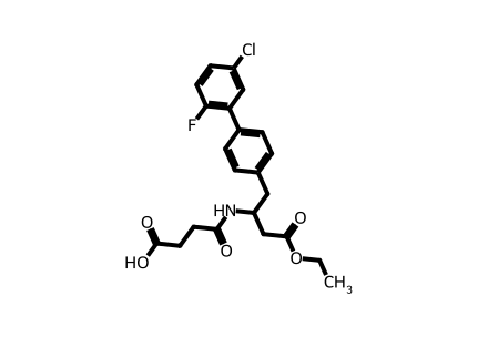 CCOC(=O)CC(Cc1ccc(-c2cc(Cl)ccc2F)cc1)NC(=O)CCC(=O)O